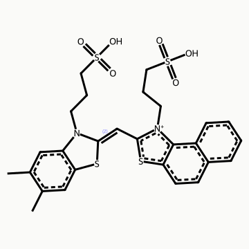 Cc1cc2c(cc1C)N(CCCS(=O)(=O)O)/C(=C/c1sc3ccc4ccccc4c3[n+]1CCCS(=O)(=O)O)S2